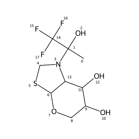 CC(O)(N1CSC2OCC(O)C(O)C21)C(F)(F)F